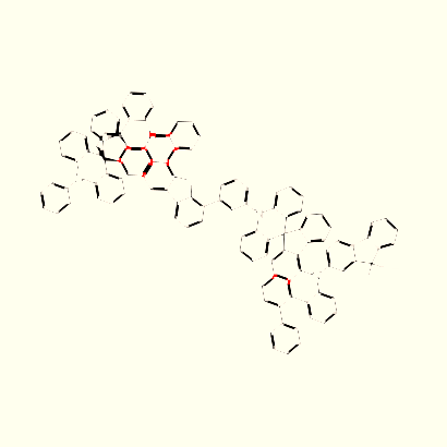 CC1(C)c2ccccc2-c2ccc(N(c3ccccc3-c3ccccc3-c3ccccc3)c3cccc4c3-c3ccccc3C43c4ccccc4N(c4cccc(-c5cccc6c5oc5c(-c7ccccc7N(c7ccccc7-c7ccccc7-c7ccccc7)c7cccc8c7-c7ccccc7C87c8ccccc8N(c8ccccc8)c8ccccc87)cccc56)c4)c4ccccc43)cc21